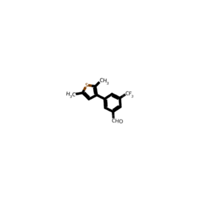 Cc1cc(-c2cc(C=O)cc(C(F)(F)F)c2)c(C)s1